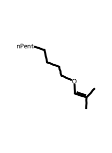 CCCCCCCCCOC=C(C)C